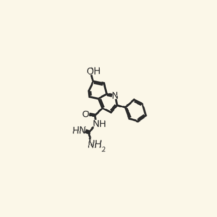 N=C(N)NC(=O)c1cc(-c2ccccc2)nc2cc(O)ccc12